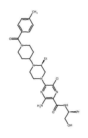 CC[C@H]1CN(c2nc(N)c(C(=O)N[C@H](CO)C(C)C)nc2Cl)CCN1C1CCN(C(=O)c2ccc(C)cc2)CC1